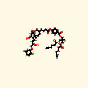 C#CCCCC(=O)OCC(C)(COC(=O)CCCC#C)COC(=O)c1ccc(OC(=O)CCC[C@H]2CC[C@@H]3[C@@H](/C=C/[C@@H](O)COc4cc(F)ccc4F)[C@H](O)C[C@@H]3OC2)cc1